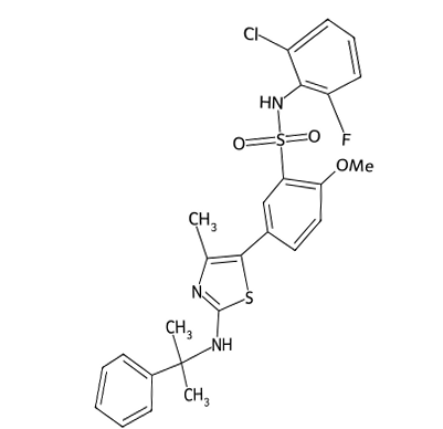 COc1ccc(-c2sc(NC(C)(C)c3ccccc3)nc2C)cc1S(=O)(=O)Nc1c(F)cccc1Cl